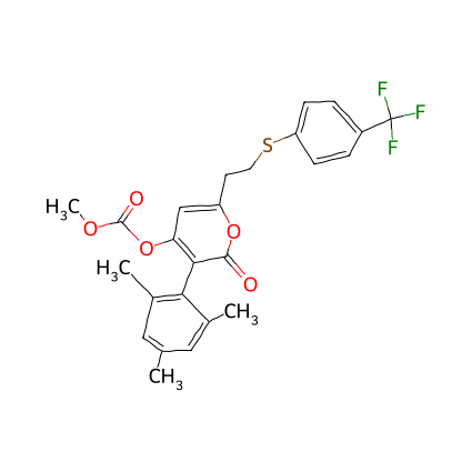 COC(=O)Oc1cc(CCSc2ccc(C(F)(F)F)cc2)oc(=O)c1-c1c(C)cc(C)cc1C